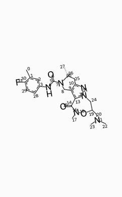 Cc1cc(NC(=O)N2Cc3c(nn4c3C(=O)N(C)OC(CN(C)C)C4)C[C@H]2C)ccc1F